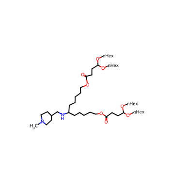 CCCCCCOC(CCC(=O)OCCCCCC(CCCCCOC(=O)CCC(OCCCCCC)OCCCCCC)NCC1CCN(C)CC1)OCCCCCC